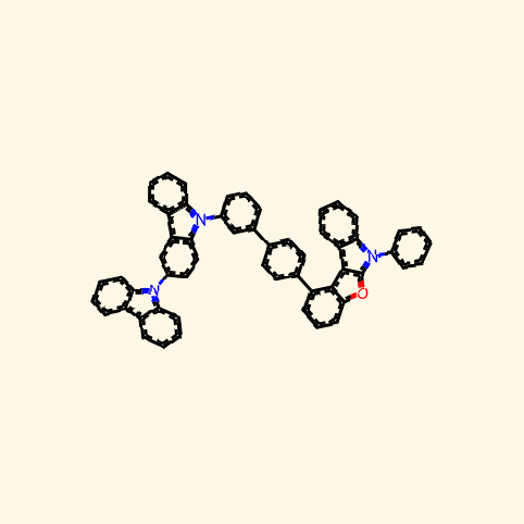 c1ccc(-n2c3ccccc3c3c4c(-c5ccc(-c6cccc(-n7c8ccccc8c8cc(-n9c%10ccccc%10c%10ccccc%109)ccc87)c6)cc5)cccc4oc32)cc1